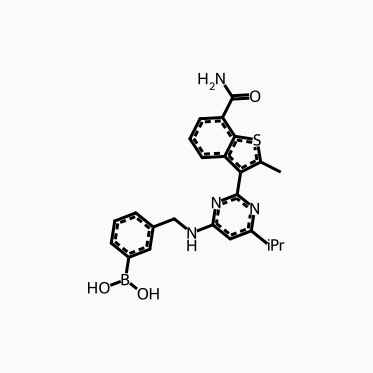 Cc1sc2c(C(N)=O)cccc2c1-c1nc(NCc2cccc(B(O)O)c2)cc(C(C)C)n1